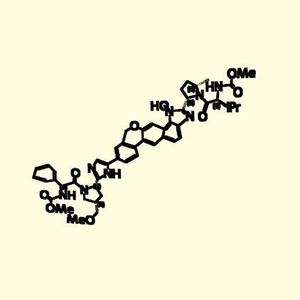 COC[C@H]1C[C@@H](c2ncc(-c3ccc4c(c3)COc3cc5c(ccc6nc([C@@H]7CC[C@H](C)N7C(=O)[C@@H](NC(=O)OC)C(C)C)n(O)c65)cc3-4)[nH]2)N(C(=O)[C@H](NC(=O)OC)c2ccccc2)C1